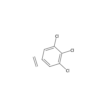 C=C.Clc1cccc(Cl)c1Cl